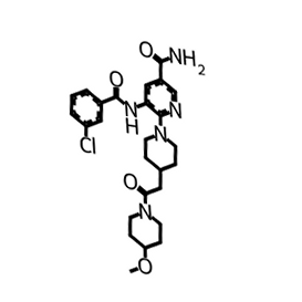 COC1CCN(C(=O)CC2CCN(c3ncc(C(N)=O)cc3NC(=O)c3cccc(Cl)c3)CC2)CC1